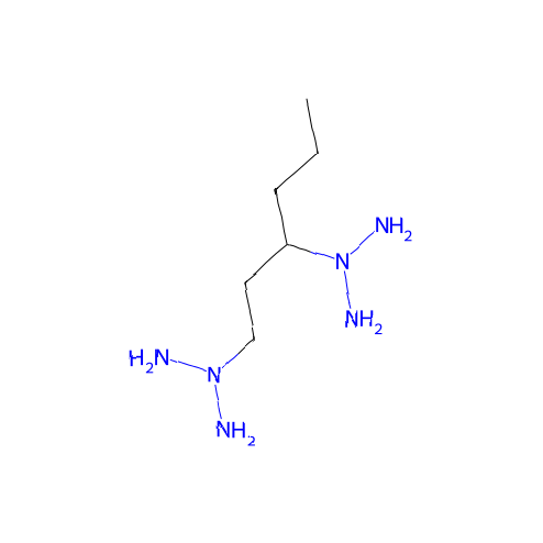 CCCC(CCN(N)N)N(N)N